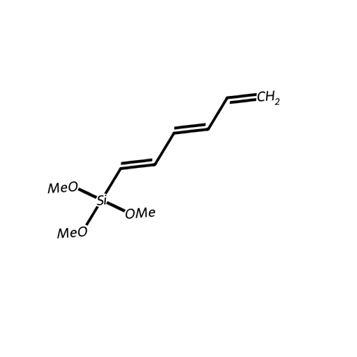 C=CC=CC=C[Si](OC)(OC)OC